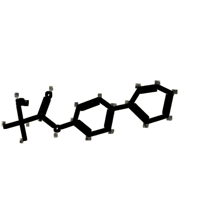 CC(C)(C)C(C)(C)C(=O)Oc1ccc(-c2ccccc2)cc1